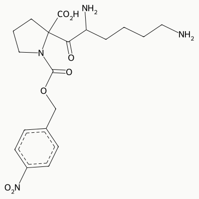 NCCCCC(N)C(=O)C1(C(=O)O)CCCN1C(=O)OCc1ccc([N+](=O)[O-])cc1